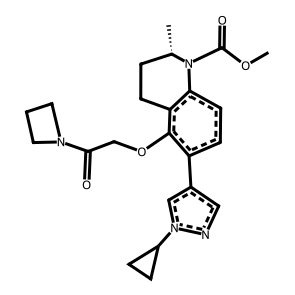 COC(=O)N1c2ccc(-c3cnn(C4CC4)c3)c(OCC(=O)N3CCC3)c2CC[C@@H]1C